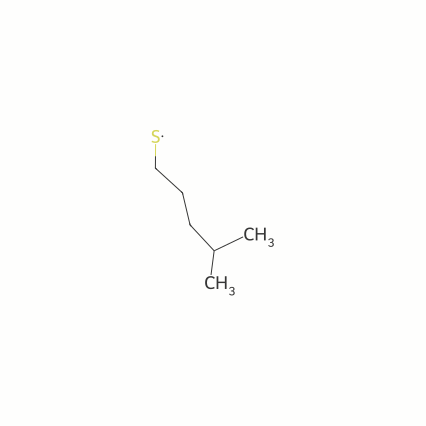 CC(C)CCC[S]